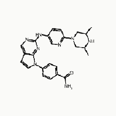 CC1CN(c2ccc(Nc3ncc4ccn(-c5ccc(C(N)=O)cc5)c4n3)cn2)CC(C)N1